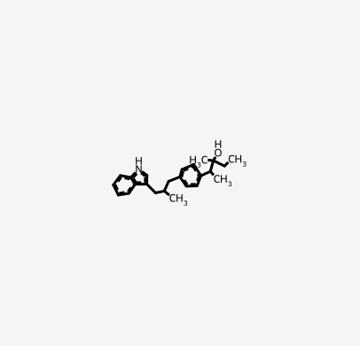 CCC(C)(O)C(C)c1ccc(CC(C)Cc2c[nH]c3ccccc23)cc1